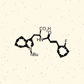 CCCCn1cc(C[C@H](NC(=O)/C=C/c2ccccc2F)C(=O)O)c2ccccc21